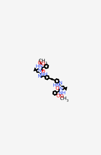 COC(=O)NC(C(=O)N1CC2(CC2)C[C@H]1c1nc2ccc(C#Cc3ccc(-c4cnc([C@@H]5CC6(CC6)CN5C(=O)[C@@H](NC(=O)OC)c5ccccc5)[nH]4)cc3)cc2[nH]1)c1ccccc1